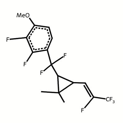 COc1ccc(C(F)(F)C2C(C=C(F)C(F)(F)F)C2(C)C)c(F)c1F